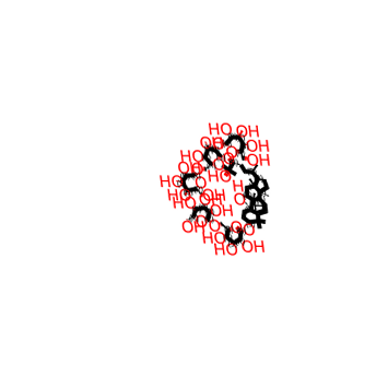 C[C@H](CC[C@@H](O[C@@H]1O[C@H](CO[C@@H]2O[C@H](CO)[C@@H](O)[C@H](O)[C@H]2O)[C@@H](O)[C@H](O)[C@H]1O[C@@H]1O[C@H](CO)[C@@H](O)[C@H](O)[C@H]1O)C(C)(C)O)[C@H]1CC[C@@]2(C)[C@@H]3CC=C4C(C)(C)[C@@H](O[C@@H]5O[C@H](CO[C@@H]6O[C@H](CO)[C@@H](O)[C@H](O)[C@H]6O)[C@@H](O)[C@H](O)[C@H]5O)CC[C@@]4(C)[C@]3(C)[C@H](O)C[C@]12C